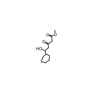 COC(=O)CC(=O)CC(O)C1CCCSC1